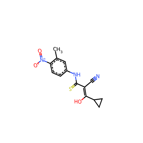 Cc1cc(NC(=S)/C(C#N)=C(\O)C2CC2)ccc1[N+](=O)[O-]